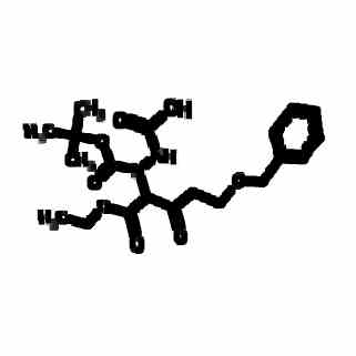 CCOC(=O)C(C(=O)CCOCc1ccccc1)N(NC(=O)O)C(=O)OC(C)(C)C